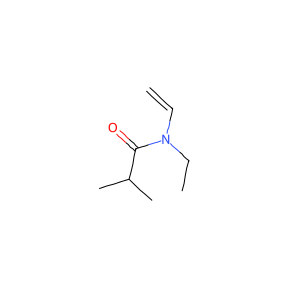 C=CN(CC)C(=O)C(C)C